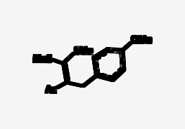 COc1ccc(CC(C(C)=O)=C(SC)SC)cc1